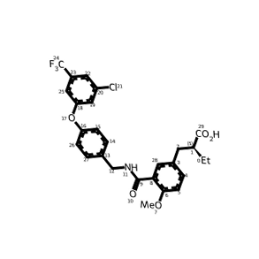 CC[C@@H](Cc1ccc(OC)c(C(=O)NCc2ccc(Oc3cc(Cl)cc(C(F)(F)F)c3)cc2)c1)C(=O)O